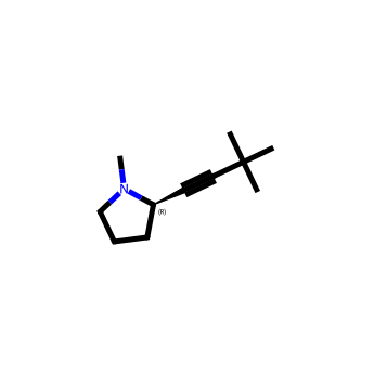 CN1CCC[C@@H]1C#CC(C)(C)C